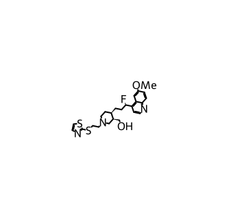 COc1ccc2nccc([C@@H](F)CC[C@@H]3CCN(CCSc4nccs4)C[C@@H]3CO)c2c1